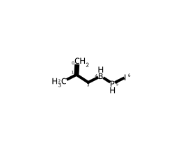 C=C(C)CBPI